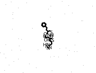 O=C(NC(C(=O)O)c1csc(Cc2nnn[nH]2)c1)C(CS)CCc1ccccc1